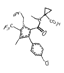 Cc1c(-c2ccc(Cl)cc2)c(C(=O)N(C)C2(C(=O)O)CC2)n(CC(C)C)c1C(F)(F)F